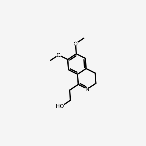 COc1cc2c(cc1OC)C(CCO)=NCC2